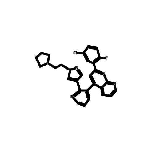 Fc1ccc(Cl)cc1-c1cc(-c2cccnc2-c2cnn(CCN3CCCC3)c2)c2cccnc2n1